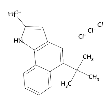 CC(C)(C)c1cc2c[c]([Hf+3])[nH]c2c2ccccc12.[Cl-].[Cl-].[Cl-]